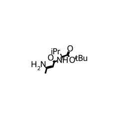 CC(N)=CC(=O)N[C@H](C(=O)OC(C)(C)C)C(C)C